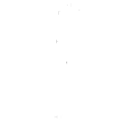 CCc1ccc(CC[C@H]2CC[C@H](CCc3ccc(CCc4cc(F)c(Cl)c(F)c4)c(F)c3)CC2)cc1